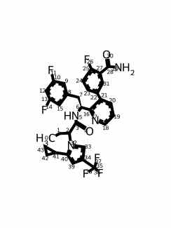 CCC(C(=O)N[C@@H](Cc1cc(F)cc(F)c1)c1ncccc1-c1ccc(F)c(C(N)=O)c1)n1cc(C(F)(F)F)cc1C1CC1